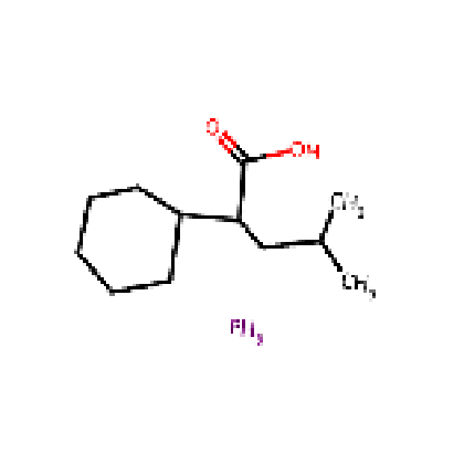 CC(C)CC(C(=O)O)C1CCCCC1.P